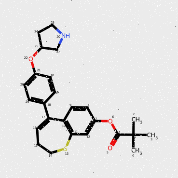 CC(C)(C)C(=O)Oc1ccc2c(c1)SCCC=C2c1ccc(OC2CCNC2)cc1